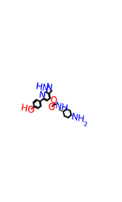 N[C@H]1CC[C@@H](CNC(=O)Oc2cc(-c3ccc(O)cc3)nc3[nH]ncc23)CC1